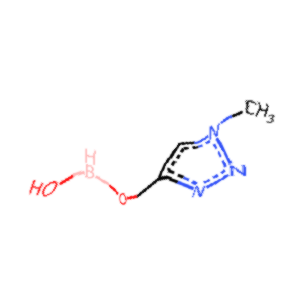 Cn1cc(OBO)nn1